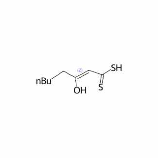 CCCCC/C(O)=C/C(=S)S